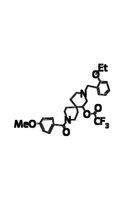 CCOc1ccccc1CN1CCC2(CCN(C(=O)c3ccc(OC)cc3)CC2)C(OC(=O)C(F)(F)F)C1